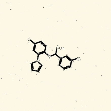 CCOC(=O)C(Oc1ccc(Cl)cc1-n1cccc1)c1cccc(C(F)(F)F)c1